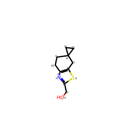 OCc1nc2c(s1)CC1(CC2)CC1